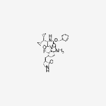 Nc1ccc(CC2CCNC2=O)c(F)c1NC(=O)[C@@H](NC(=O)OCc1ccccc1)C(C1CC1)C1CC1